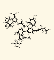 Cn1nc(NS(C)(=O)=O)c2c(Cl)ccc(-c3ccc(C#CC4(O)CC(F)(F)C4)nc3[C@H](Cc3cccc(F)c3)NC(=O)Cn3nc(C(F)F)c4c3C(F)(F)[C@@H]3CC[C@H]43)c21